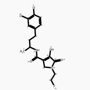 CC(CCc1ccc(Cl)c(Cl)c1)NC(=O)C1=C(O)C(=O)N(CCF)C1